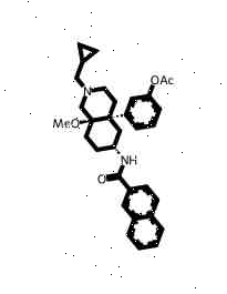 CO[C@]12CC[C@@H](NC(=O)c3ccc4ccccc4c3)C[C@]1(c1cccc(OC(C)=O)c1)CCN(CC1CC1)C2